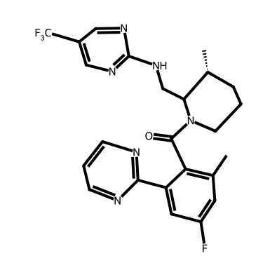 Cc1cc(F)cc(-c2ncccn2)c1C(=O)N1CCC[C@@H](C)C1CNc1ncc(C(F)(F)F)cn1